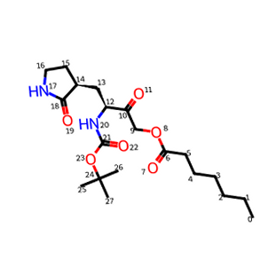 CCCCCCC(=O)OCC(=O)[C@H](C[C@@H]1CCNC1=O)NC(=O)OC(C)(C)C